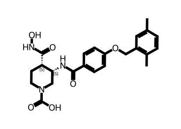 Cc1ccc(C)c(COc2ccc(C(=O)N[C@@H]3CN(C(=O)O)CC[C@@H]3C(=O)NO)cc2)c1